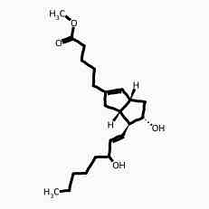 CCCCCC(O)C=C[C@H]1[C@@H]2CC(CCCCC(=O)OC)=C[C@@H]2C[C@@H]1O